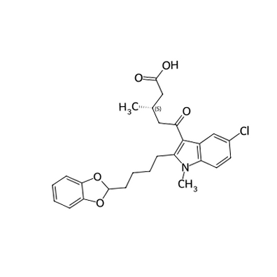 C[C@H](CC(=O)O)CC(=O)c1c(CCCCC2Oc3ccccc3O2)n(C)c2ccc(Cl)cc12